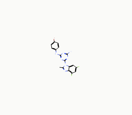 CCc1nc2c(F)cc(F)cc2n1-c1nc(N)nc(Nc2ccc(Br)cc2)n1